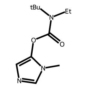 CCN(C(=O)Oc1cncn1C)C(C)(C)C